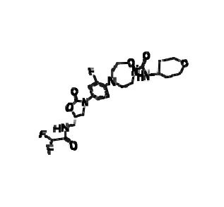 O=C(NC[C@H]1CN(c2ccc(N3CCON(C(=O)NC4CCOCC4)CC3)c(F)c2)C(=O)O1)C(F)F